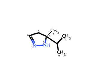 CC(C)[C@]1(C)CC=NN1